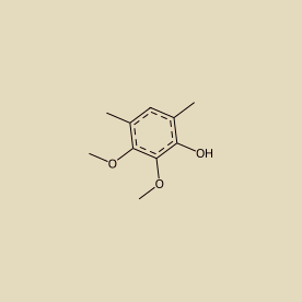 COc1c(C)cc(C)c(O)c1OC